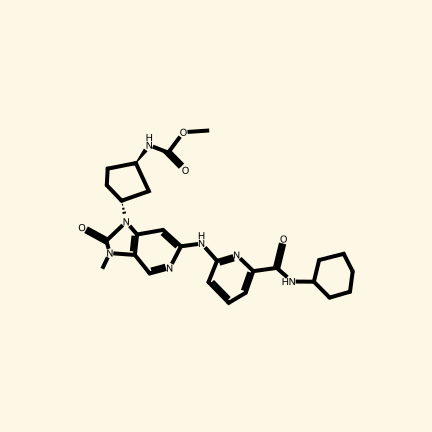 COC(=O)N[C@@H]1CC[C@@H](n2c(=O)n(C)c3cnc(Nc4cccc(C(=O)NC5CCCCC5)n4)cc32)C1